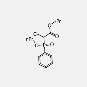 CCCOP(=O)(c1ccccc1)C(Cl)C(=O)OC(C)C